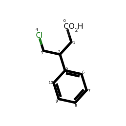 O=C(O)CC(CCl)c1ccccc1